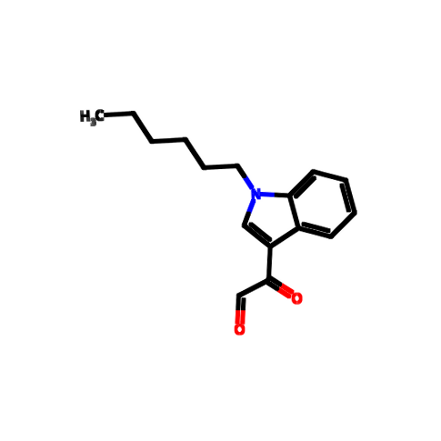 CCCCCCn1cc(C(=O)C=O)c2ccccc21